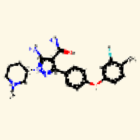 Cc1ccc(Oc2ccc(-c3nn([C@H]4CCCN(C#N)C4)c(N)c3C(N)=O)cc2)cc1F